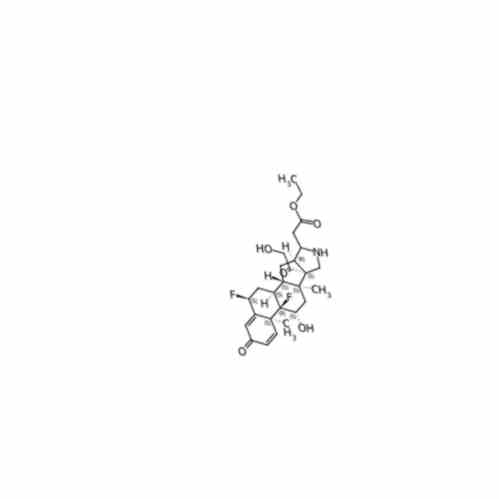 CCOC(=O)CC1NC[C@]2(C(=O)CO)[C@H]1C[C@H]1[C@@H]3C[C@H](F)C4=CC(=O)C=C[C@]4(C)[C@@]3(F)[C@@H](O)C[C@@]12C